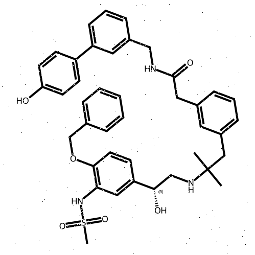 CC(C)(Cc1cccc(CC(=O)NCc2cccc(-c3ccc(O)cc3)c2)c1)NC[C@H](O)c1ccc(OCc2ccccc2)c(NS(C)(=O)=O)c1